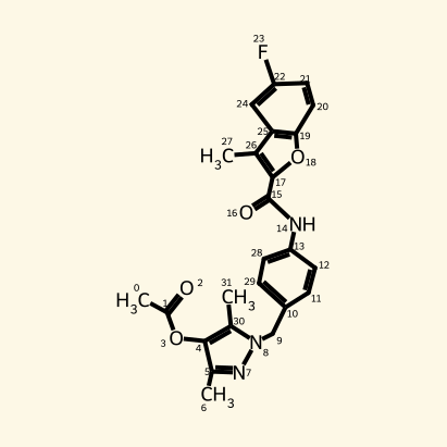 CC(=O)Oc1c(C)nn(Cc2ccc(NC(=O)c3oc4ccc(F)cc4c3C)cc2)c1C